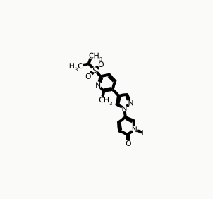 Cc1nc(S(=O)(=O)C(C)C)ccc1-c1cnn(-c2ccc(=O)n(I)c2)c1